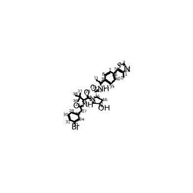 Cc1ncsc1-c1ccc(C(C)NC(=O)[C@@H]2C[C@@H](O)CN2C(=O)C(NC(=O)Cc2cccc(Br)c2)C(C)(C)C)cc1